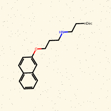 CCCCCCCCCCCCNCCCOc1ccc2ccccc2c1